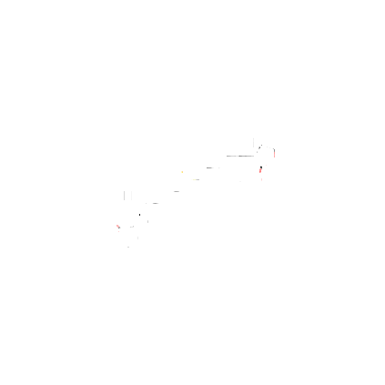 CC(C)(CCCC[S+]([O-])CCCCC(C)(C)C1CCOC1=O)C1CCOC1=O